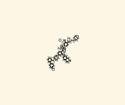 O=C(NS(=O)(=O)c1ccc(NCCCN2CCOCC2)c([N+](=O)[O-])c1)c1ccc(N2CCN(Cc3ccccc3-c3ccc(Cl)cc3)CC2)cc1Oc1ccc2ccncc2c1